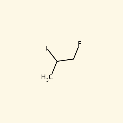 CC(I)CF